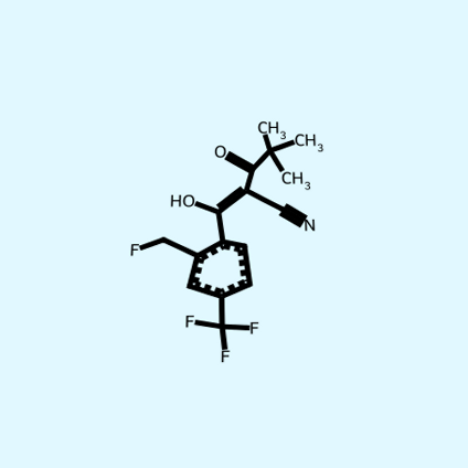 CC(C)(C)C(=O)/C(C#N)=C(\O)c1ccc(C(F)(F)F)cc1CF